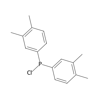 Cc1ccc(P(Cl)c2ccc(C)c(C)c2)cc1C